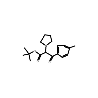 Cc1ccc(C(=O)C(C(=O)OC(C)(C)C)N2CCCC2)cc1